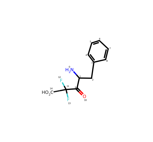 NC(Cc1ccccc1)C(=O)C(F)(F)C(=O)O